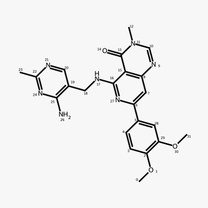 COc1ccc(-c2cc3ncn(C)c(=O)c3c(NCc3cnc(C)nc3N)n2)cc1OC